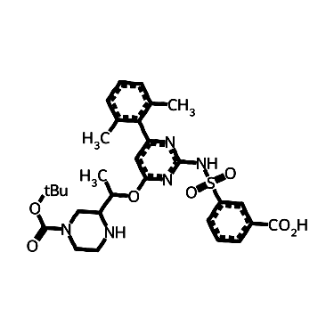 Cc1cccc(C)c1-c1cc(OC(C)C2CN(C(=O)OC(C)(C)C)CCN2)nc(NS(=O)(=O)c2cccc(C(=O)O)c2)n1